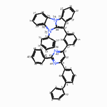 c1ccc(-c2cccc(-c3cc(-c4cccc(-c5c6ccccc6n6c7ccccc7n(-c7ccccc7)c56)c4)nc(-c4ccccc4)n3)c2)cc1